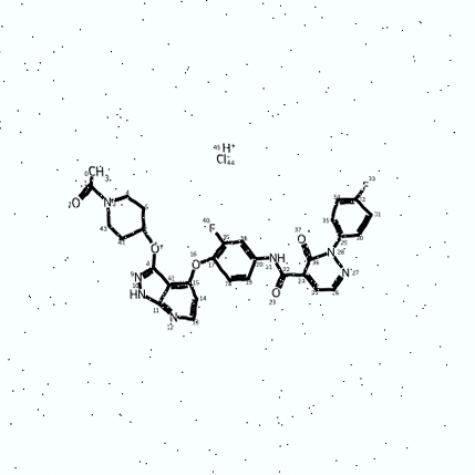 CC(=O)N1CCC(Oc2n[nH]c3nccc(Oc4ccc(NC(=O)c5ccnn(-c6ccc(F)cc6)c5=O)cc4F)c23)CC1.[Cl-].[H+]